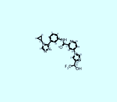 O=C(Nc1cccc(-c2nncn2C2CC2)c1)c1cc(-n2cnc(C(O)C(F)(F)F)c2)ccn1